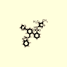 Cc1noc(NS(=O)(=O)c2ccccc2-c2ccc(-c3ncco3)cc2Cn2nnc3ccccc32)c1C